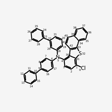 Clc1ccc(N(c2ccc(-c3ccccc3)cc2)c2cccc(-c3ccccc3)c2)c2c1sc1c3ccccc3ccc12